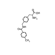 Cc1ccc(C(=O)NCc2ccc(CC(N)C(=O)O)cc2)cc1